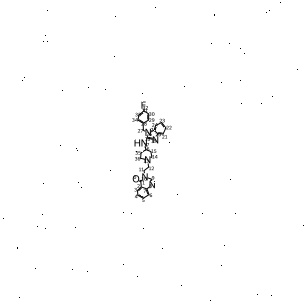 O=c1c2ccccc2ncn1CCN1CCC(Nc2nc3ccccc3n2Cc2ccc(F)cc2)CC1